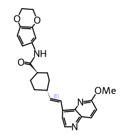 COc1ccc2nccc(/C=C/[C@H]3CC[C@H](C(=O)Nc4ccc5c(c4)OCCO5)CC3)c2n1